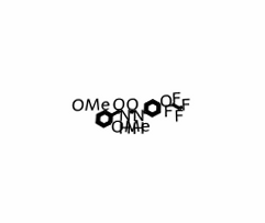 COc1cccc(OC)c1C(=O)NC(=O)Nc1ccc(OC(F)(F)C(F)F)cc1